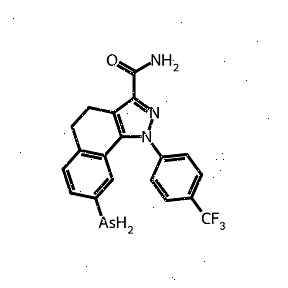 NC(=O)c1nn(-c2ccc(C(F)(F)F)cc2)c2c1CCc1ccc([AsH2])cc1-2